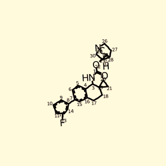 O=C(NC1c2ccc(-c3cccc(F)c3)cc2CCC12CC2)O[C@H]1CN2CCC1CC2